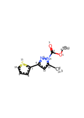 CC(C)(C)OC(=O)n1nc(-c2cccs2)cc1C(F)(F)F